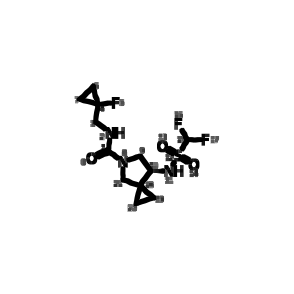 O=C(NCC1(F)CC1)N1C[C@@H](NS(=O)(=O)C(F)F)C2(CC2)C1